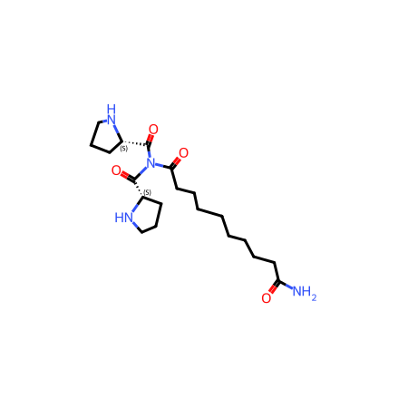 NC(=O)CCCCCCCCC(=O)N(C(=O)[C@@H]1CCCN1)C(=O)[C@@H]1CCCN1